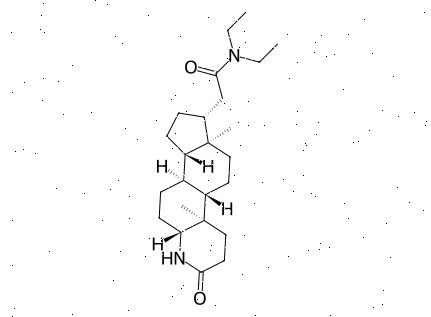 CCN(CC)C(=O)C[C@H]1CC[C@H]2[C@@H]3CC[C@H]4NC(=O)CC[C@]4(C)[C@H]3CC[C@]12C